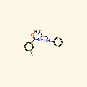 CC(CNc1ccccc1)NC(=O)c1cccc(F)c1